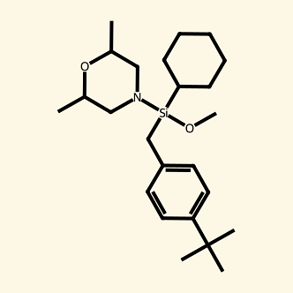 CO[Si](Cc1ccc(C(C)(C)C)cc1)(C1CCCCC1)N1CC(C)OC(C)C1